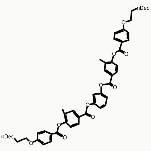 CCCCCCCCCCCCOc1ccc(C(=O)Oc2ccc(C(=O)Oc3cccc(OC(=O)c4ccc(OC(=O)c5ccc(OCCCCCCCCCCCC)cc5)c(C)c4)c3)cc2C)cc1